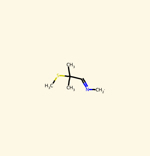 [CH2]/N=C/C(C)(C)SC